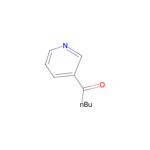 CCCCC(=O)c1cccnc1